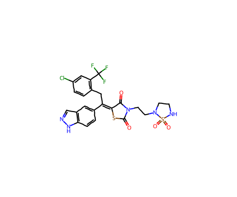 O=C1S/C(=C(/Cc2ccc(Cl)cc2C(F)(F)F)c2ccc3[nH]ncc3c2)C(=O)N1CCN1CCNS1(=O)=O